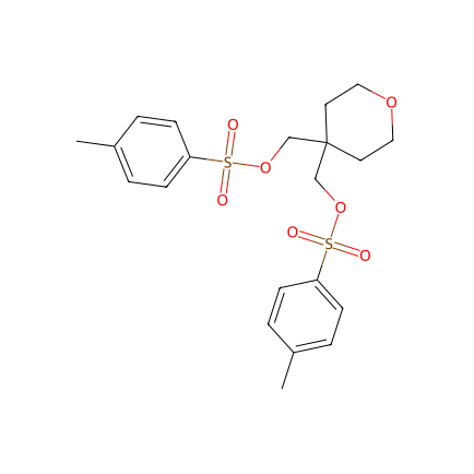 Cc1ccc(S(=O)(=O)OCC2(COS(=O)(=O)c3ccc(C)cc3)CCOCC2)cc1